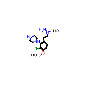 C1CNCCN1.NN(C=O)CCc1ccc(OS(=O)(=O)O)c(Cl)c1